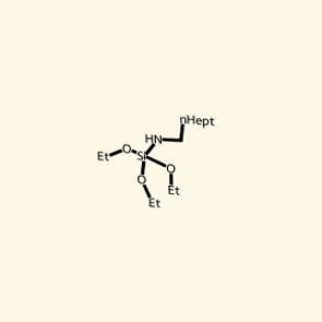 CCCCCCCCN[Si](OCC)(OCC)OCC